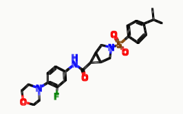 CC(C)c1ccc(S(=O)(=O)N2CC3C(C2)C3C(=O)Nc2ccc(N3CCOCC3)c(F)c2)cc1